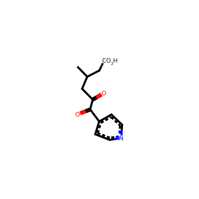 CC(CC(=O)O)CC(=O)C(=O)c1ccncc1